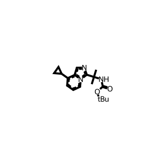 CC(C)(C)OC(=O)NC(C)(C)c1ncc2c(C3CC3)cccn12